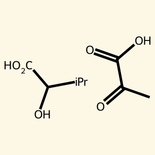 CC(=O)C(=O)O.CC(C)C(O)C(=O)O